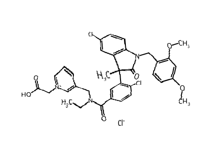 CCN(Cc1ccc[n+](CC(=O)O)c1)C(=O)c1ccc(Cl)c(C2(C)C(=O)N(Cc3ccc(OC)cc3OC)c3ccc(Cl)cc32)c1.[Cl-]